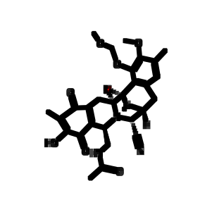 COCOc1c(OC)c(C)cc2c1[C@@H]1[C@@H]3CC4=C(C(=O)C(O)=C(C)C4=O)[C@H](CNC(C)=O)N3[C@@H](C#N)[C@@H](C2)N1C